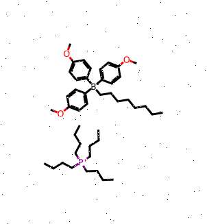 CCCCCCCC[B-](c1ccc(OC)cc1)(c1ccc(OC)cc1)c1ccc(OC)cc1.CCCC[P+](CCCC)(CCCC)CCCC